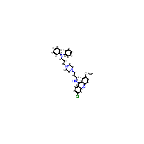 COc1ccc2nc3cc(Cl)ccc3c(NCCCN3CCN(CCCN(c4ccccc4)c4ccccc4)CC3)c2c1